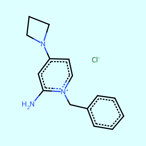 Nc1cc(N2CCC2)cc[n+]1Cc1ccccc1.[Cl-]